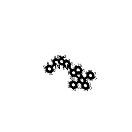 CC1(C)c2ccc(-c3ccccc3)nc2-c2nc(-c3ccc4c5c(cccc35)-c3c-4c(-c4ccccc4)c4ccccc4c3-c3ccccc3)ccc21